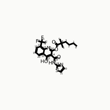 CCCCC(C)(C)C(=O)Oc1nc2c(C(F)(F)F)cccc2c(O)c1C(=O)Nc1nccs1